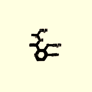 CCOC(=O)Oc1c(OC)ccnc1C(=O)N[C@@H](C)C(=O)O